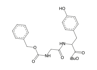 CC(C)COC(=O)C(Cc1ccc(O)cc1)NC(=O)CNC(=O)OCc1ccccc1